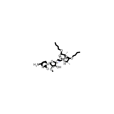 CCCCOC(=O)[C@H](C)NP(=O)(/C=C/[C@H]1O[C@@H](n2ccc(N)nc2=O)[C@H](OC)[C@@H]1O)N[C@@H](C)C(=O)OCCCC